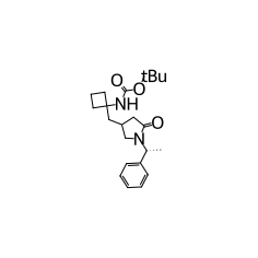 C[C@H](c1ccccc1)N1CC(CC2(NC(=O)OC(C)(C)C)CCC2)CC1=O